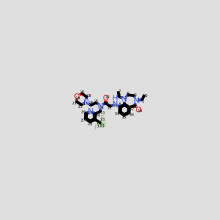 CCN1CCN(CC)c2c(NCC(=O)N(CCN3CCOCC3)Cc3ncccc3C(F)(F)F)cccc2C1=O